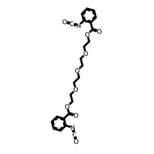 O=C=Nc1ccccc1C(=O)OCCOCCOCCOCCOC(=O)c1ccccc1N=C=O